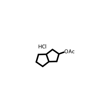 CC(=O)OC1CC2CCCC2C1.Cl